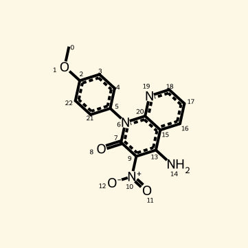 COc1ccc(-n2c(=O)c([N+](=O)[O-])c(N)c3cccnc32)cc1